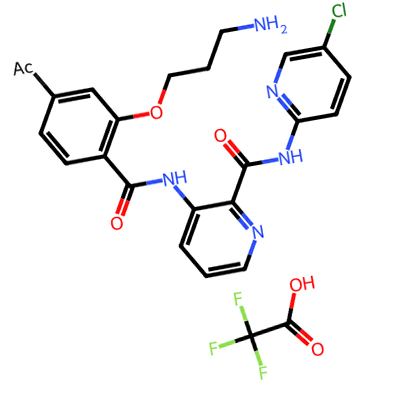 CC(=O)c1ccc(C(=O)Nc2cccnc2C(=O)Nc2ccc(Cl)cn2)c(OCCCN)c1.O=C(O)C(F)(F)F